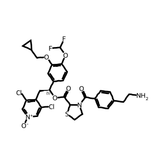 NCCc1ccc(C(=O)N2CCSC2C(=O)O[C@@H](Cc2c(Cl)c[n+]([O-])cc2Cl)c2ccc(OC(F)F)c(OCC3CC3)c2)cc1